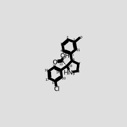 Cc1cccc(C2CCN[C@@]2(C(=O)O)c2cccc(Cl)c2)c1